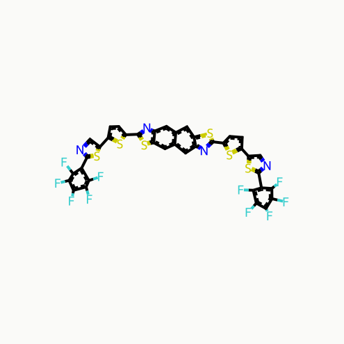 Fc1c(F)c(F)c(-c2ncc(-c3ccc(-c4nc5cc6cc7sc(-c8ccc(-c9cnc(-c%10c(F)c(F)c(F)c(F)c%10F)s9)s8)nc7cc6cc5s4)s3)s2)c(F)c1F